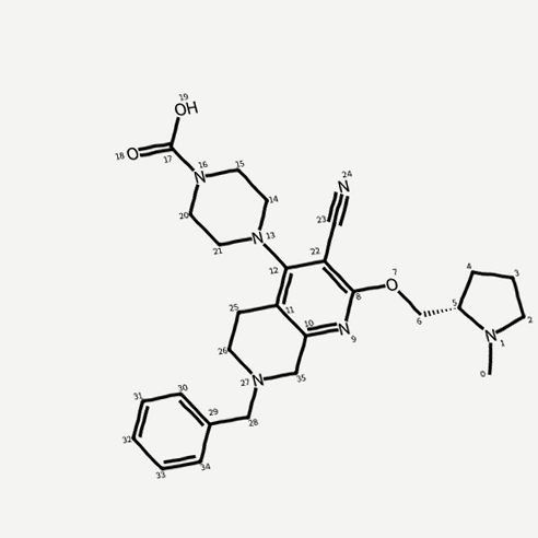 CN1CCC[C@H]1COc1nc2c(c(N3CCN(C(=O)O)CC3)c1C#N)CCN(Cc1ccccc1)C2